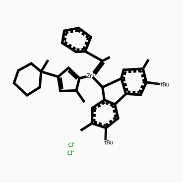 C/[C](c1ccccc1)=[Zr+2](/[C]1=CC(C2(C)CCCCC2)=CC1C)[CH]1c2cc(C)c(C(C)(C)C)cc2-c2cc(C(C)(C)C)c(C)cc21.[Cl-].[Cl-]